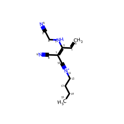 C=CC(NCC#N)=C(C#N)C#[N+]CCCC